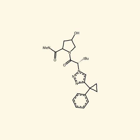 CNC(=O)C1CC(O)CN1C(=O)[C@@H](n1cc(C2(c3ccccc3)CC2)nn1)C(C)(C)C